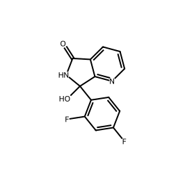 O=C1NC(O)(c2ccc(F)cc2F)c2ncccc21